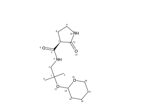 CC(C)(CNC(=O)[C@H]1CCNC1=O)OC1CCCCO1